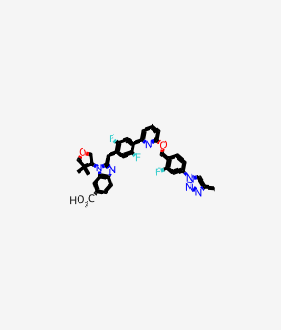 Cc1cn(-c2ccc(COc3cccc(-c4cc(F)c(Cc5nc6ccc(C(=O)O)cc6n5C5COCC5(C)C)cc4F)n3)c(F)c2)nn1